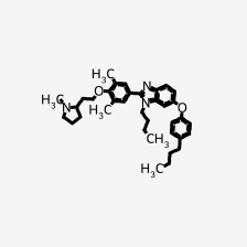 CCCCc1ccc(Oc2ccc3nc(-c4cc(C)c(OCCC5CCCN5C)c(C)c4)n(CCCC)c3c2)cc1